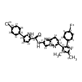 Cc1nc(-c2ccc(F)cc2)c(-c2ccc3nc(NC(=O)c4ccc(-c5ccc(Cl)cc5)[nH]4)cn3n2)n1C